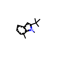 Cc1cccc2cc(C(C)(C)C)n(C)c12